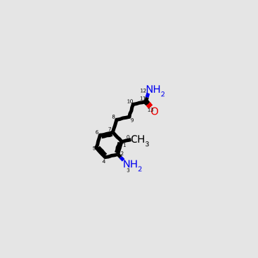 Cc1c(N)cccc1CCCC(N)=O